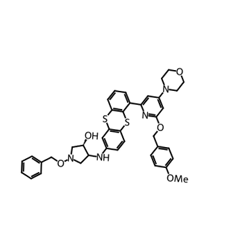 COc1ccc(COc2cc(N3CCOCC3)cc(-c3cccc4c3Sc3ccc(NC5CN(OCc6ccccc6)C[C@H]5O)cc3S4)n2)cc1